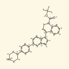 CC(C)(C)OC(=O)N1CC=C(c2cnn3cc(-c4ccc(N5CCNCC5)cc4)ccc23)c2ccccc21